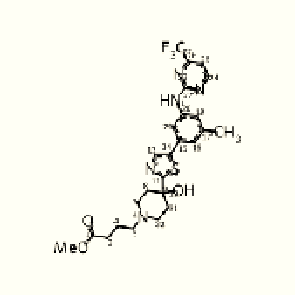 COC(=O)CCCN1CCC(O)(c2ncc(-c3cc(C)cc(Nc4nccc(C(F)(F)F)n4)c3)s2)CC1